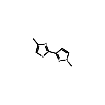 Cc1csc(-c2ccn(C)n2)n1